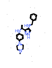 C=C(Nc1ccc(N2CCN(C)CC2)cc1)c1n[nH]cc1NCc1ccccc1